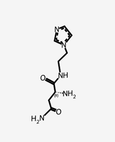 NC(=O)C[C@@H](N)C(=O)NCCn1ccnc1